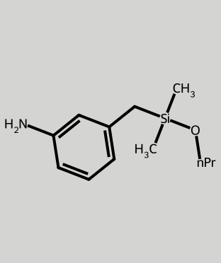 CCCO[Si](C)(C)Cc1cccc(N)c1